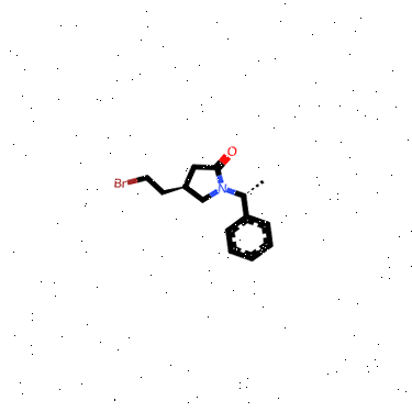 C[C@H](c1ccccc1)N1C[C@@H](CCBr)CC1=O